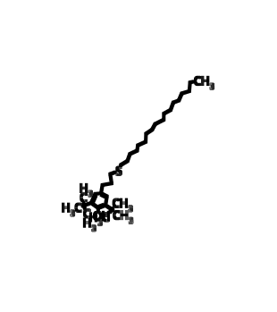 CCCCCCCCCCCCCCCCCCSCCCc1cc(C(C)(C)C)c(O)c(C(C)(C)C)c1